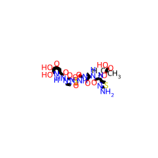 CC(C)(ON=C(C(=O)NC1CN(C(=O)NS(=O)(=O)N2CCN(NC(=O)c3cc(=O)c(O)c(O)[nH]3)C2=O)C1=O)c1csc(N)n1)C(=O)O